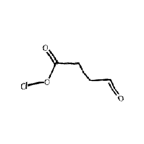 O=CCCC(=O)OCl